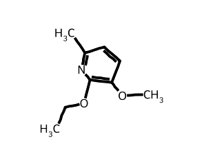 CCOc1nc(C)ccc1OC